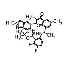 Cc1cc([C@@H](C)Nc2ccc(F)c(F)c2C(=O)OC(C)(C)C)c2oc(-c3ccc4nn(C)cc4c3)c(C)c(=O)c2c1